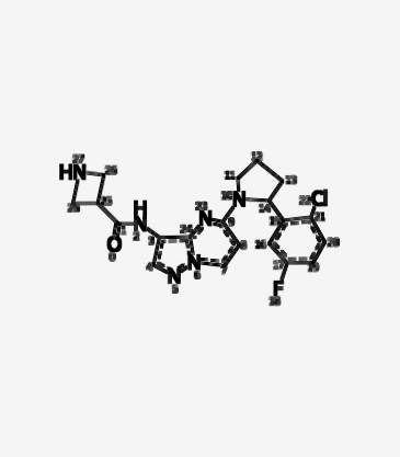 O=C(Nc1cnn2ccc(N3CCCC3c3cc(F)ccc3Cl)nc12)C1CNC1